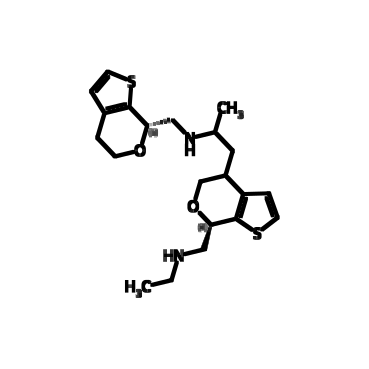 CCNC[C@H]1OCC(CC(C)NC[C@@H]2OCCc3ccsc32)c2ccsc21